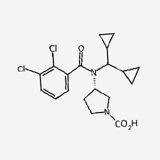 O=C(O)N1CC[C@H](N(C(=O)c2cccc(Cl)c2Cl)C(C2CC2)C2CC2)C1